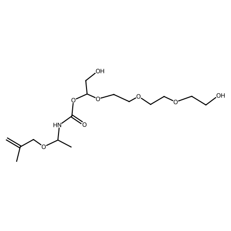 C=C(C)COC(C)NC(=O)OC(CO)OCCOCCOCCO